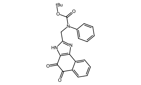 CC(C)(C)OC(=O)N(Cc1nc2c([nH]1)C(=O)C(=O)c1ccccc1-2)c1ccccc1